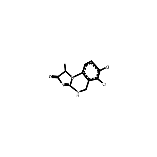 CC1C(=O)N=C2NCc3c(ccc(Cl)c3Cl)N21